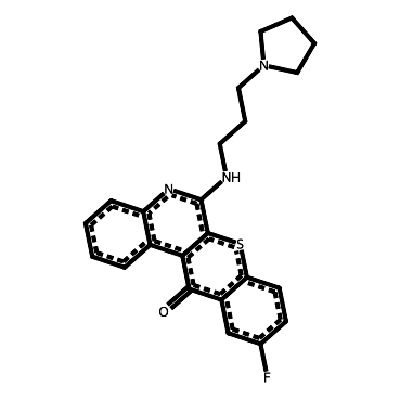 O=c1c2cc(F)ccc2sc2c(NCCCN3CCCC3)nc3ccccc3c12